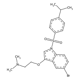 CC(C)c1ccc(S(=O)(=O)n2cc(OCCN(C)C)c3cc(Br)ccc32)cc1